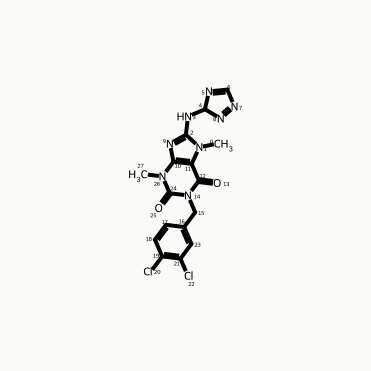 Cn1c(NC2N=CN=N2)nc2c1c(=O)n(Cc1ccc(Cl)c(Cl)c1)c(=O)n2C